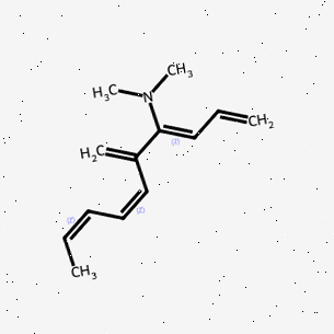 C=C/C=C(/C(=C)/C=C\C=C/C)N(C)C